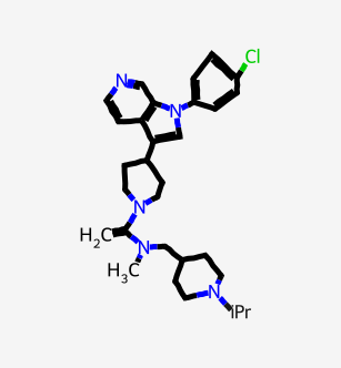 C=C(N(C)CC1CCN(C(C)C)CC1)N1CCC(c2cn(-c3ccc(Cl)cc3)c3cnccc23)CC1